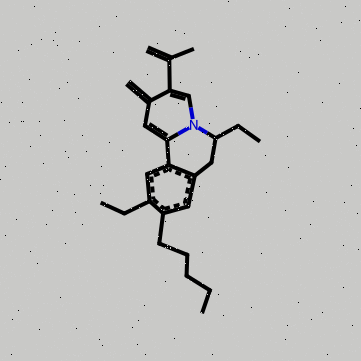 C=C(C)C1=CN2C(=CC1=C)c1cc(CC)c(CCCCC)cc1CC2CC